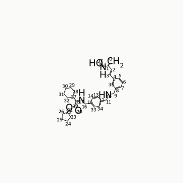 C=C(/C=C/c1cccc(CNCc2ccc(CN[C@H](C(=O)OC3CCCC3)C3CCCCC3)cc2)c1)NO